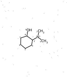 CN(C)C1CCCCC1O